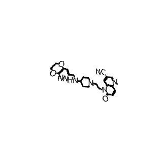 N#Cc1cnc2ccc(=O)n(CCN3CCC(NCc4cc5c(nn4)OCCO5)CC3)c2c1